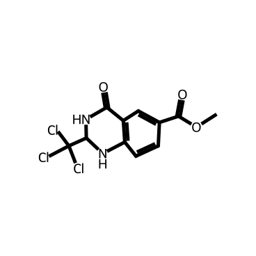 COC(=O)c1ccc2c(c1)C(=O)NC(C(Cl)(Cl)Cl)N2